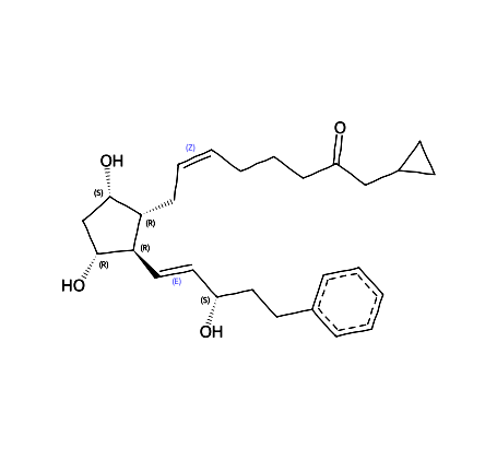 O=C(CCC/C=C\C[C@@H]1[C@@H](/C=C/[C@@H](O)CCc2ccccc2)[C@H](O)C[C@@H]1O)CC1CC1